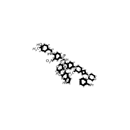 CC(C)c1ccccc1[C@@H]1COCCN1C1CC2(CCN(c3ccc(C(=O)NS(=O)(=O)c4ccc(NCC5CCC(C)(O)CC5)c([N+](=O)[O-])c4)c(N4c5cc6cc[nH]c6nc5O[C@H]5COCC[C@@H]54)c3)C(C)C2)C1